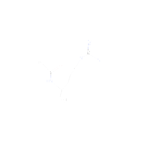 CCOC(=O)C(CCCNC(=N)N)NC(=O)C(C)C